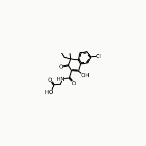 CCC1(C)C(=O)C(C(=O)NCC(=O)O)=C(O)c2cc(Cl)ccc21